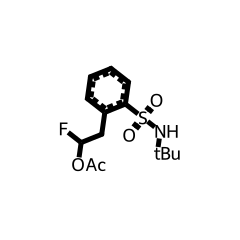 CC(=O)OC(F)Cc1ccccc1S(=O)(=O)NC(C)(C)C